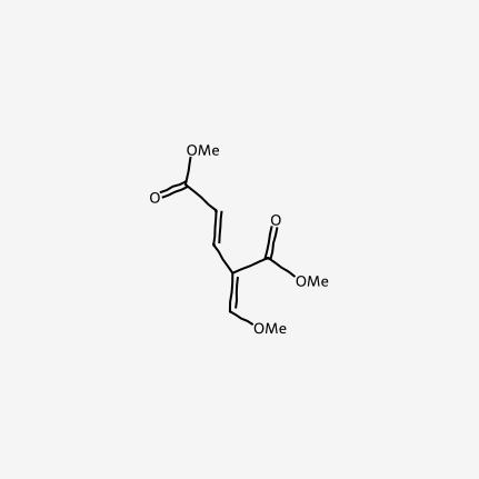 CO/C=C(/C=C/C(=O)OC)C(=O)OC